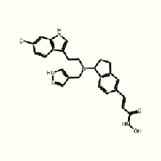 O=C(C=Cc1ccc2c(c1)CCC2N(CCc1c[nH]c2cc(Cl)ccc12)Cc1cn[nH]c1)NO